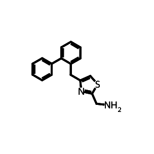 NCc1nc(Cc2ccccc2-c2ccccc2)cs1